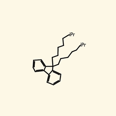 CC(C)CCCCCC1(CCCCCC(C)C)c2ccccc2-c2ccccc21